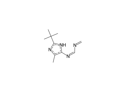 C=N/C=N\c1[nH]c(C(C)(C)C)nc1C